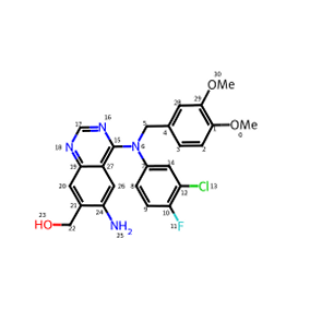 COc1ccc(CN(c2ccc(F)c(Cl)c2)c2ncnc3cc(CO)c(N)cc23)cc1OC